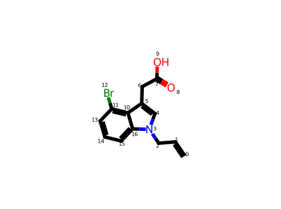 C=CCn1cc(CC(=O)O)c2c(Br)cccc21